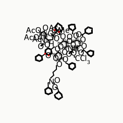 COC(=O)[C@@]1(OC[C@H]2O[C@@H](O[C@H]3[C@@H](OCc4ccccc4)[C@@H](COCc4ccccc4)O[C@@H](OCCCCCN(Cc4ccccc4)C(=O)OCc4ccccc4)[C@@H]3OCc3ccccc3)[C@H](NC(=O)OCC(Cl)(Cl)Cl)[C@@H](O[C@@H]3O[C@@H]4COC(c5ccccc5)OC4[C@H](OC(=O)c4ccccc4)[C@H]3OC(=O)c3ccccc3)[C@@H]2OCc2ccccc2)C[C@@H]2OC(=O)N(C(C)=O)[C@H]2[C@H]([C@H](OC(C)=O)[C@@H](COC(C)=O)OC(C)=O)O1